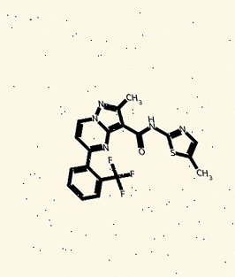 Cc1cnc(NC(=O)c2c(C)nn3ccc(-c4ccccc4C(F)(F)F)nc23)s1